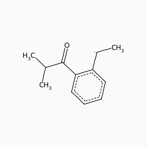 C[CH]c1ccccc1C(=O)C(C)C